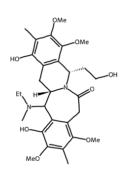 CCN(C)C1c2c(O)c(OC)c(C)c(OC)c2CC(=O)N2[C@@H](CCO)c3c(c(O)c(C)c(OC)c3OC)C[C@@H]12